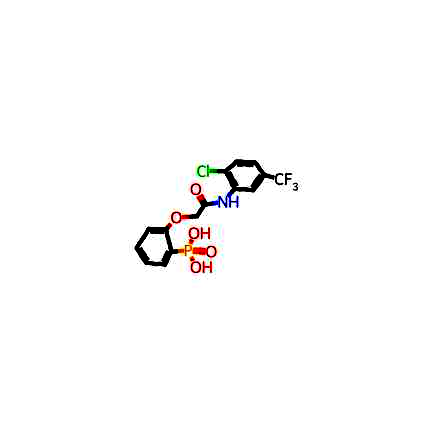 O=C(COc1ccccc1P(=O)(O)O)Nc1cc(C(F)(F)F)ccc1Cl